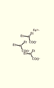 CCN(CC)C(=O)[O-].CCN(CC)C(=O)[O-].CCN(CC)C(=O)[O-].[Fe+3]